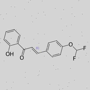 O=C(/C=C/c1ccc(OC(F)F)cc1)c1ccccc1O